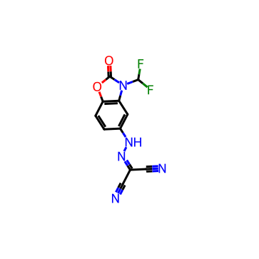 N#CC(C#N)=NNc1ccc2oc(=O)n(C(F)F)c2c1